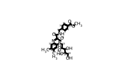 COC(=O)c1ccc(CNC(=O)c2nc3cc(C)c(C)cc3n(C[C@H](O)[C@H](O)[C@H](O)CO)c2=O)cc1